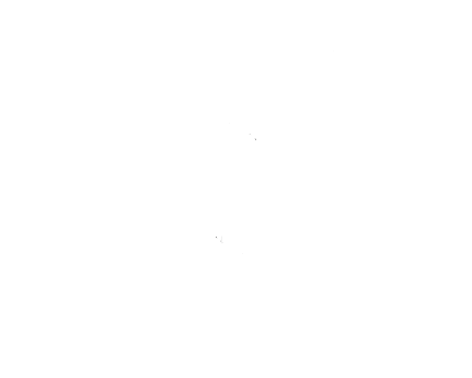 c1ccc2cc(-n3c4ccccc4c4cc5c(cc43)c3ccccc3n5-c3ccc4ccccc4c3)ccc2c1